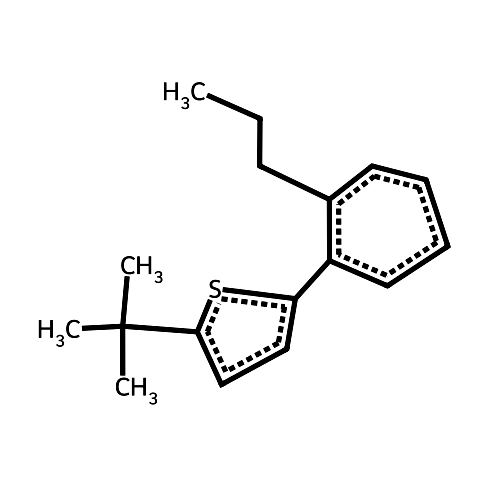 CCCc1ccccc1-c1ccc(C(C)(C)C)s1